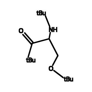 CC(C)(C)NC(COC(C)(C)C)C(=O)C(C)(C)C